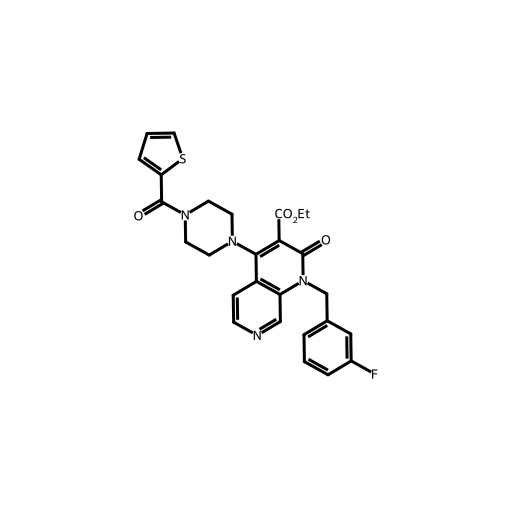 CCOC(=O)c1c(N2CCN(C(=O)c3cccs3)CC2)c2ccncc2n(Cc2cccc(F)c2)c1=O